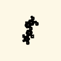 COc1cc2nccc(Oc3ccc(N4CC(=O)N(C)C4=S)c(Cl)c3)c2cc1C=O